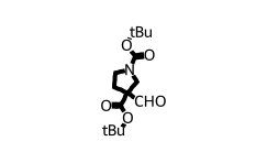 CC(C)(C)OC(=O)N1CCC(C=O)(C(=O)OC(C)(C)C)C1